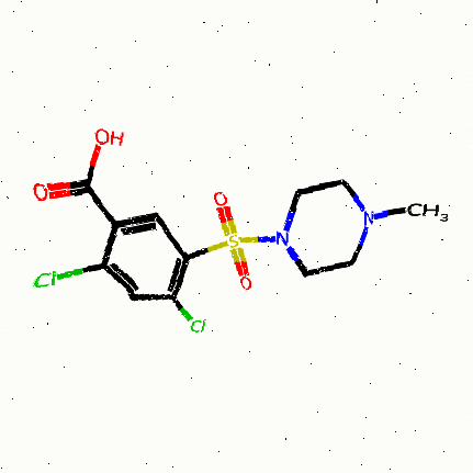 CN1CCN(S(=O)(=O)c2cc(C(=O)O)c(Cl)cc2Cl)CC1